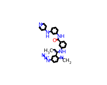 C=Nc1ccc(N=[N+]=[N-])cc1/C(=C\C)Nc1cccc(C(=O)Nc2cccc(Nc3ccncc3)c2)c1